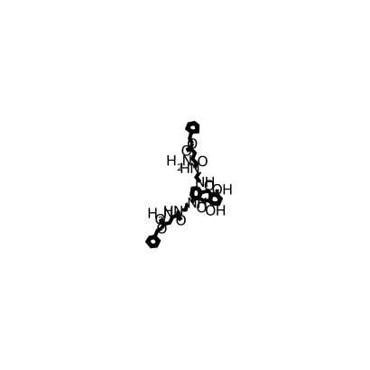 N[C@@H](CC(=O)OCc1ccccc1)C(=O)NCCNc1ccc(NCCNC(=O)[C@@H](N)CC(=O)OCc2ccccc2)c2c1C(=O)c1c(O)ccc(O)c1C2=O